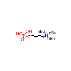 CCCC[N+](CCCC)(CCCC)CCCCOP(=O)(O)O